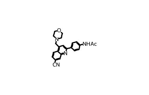 CC(=O)Nc1ccc(-c2cc(CN3CCOCC3)c3ccc(C#N)cc3n2)cc1